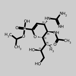 CC(=O)N[C@H]1[C@H]([C@H](C)[C@H](O)CO)OC(P(=O)(O)OC(C)C)=C[C@@H]1NC(=N)N